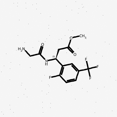 COC(=O)C[C@H](NC(=O)CN)c1cc(C(F)(F)F)ccc1F